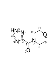 O=C(c1nc[nH]n1)N1CCOCC1